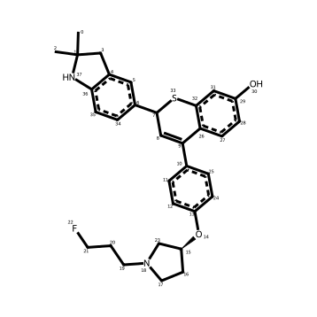 CC1(C)Cc2cc(C3C=C(c4ccc(O[C@H]5CCN(CCCF)C5)cc4)c4ccc(O)cc4S3)ccc2N1